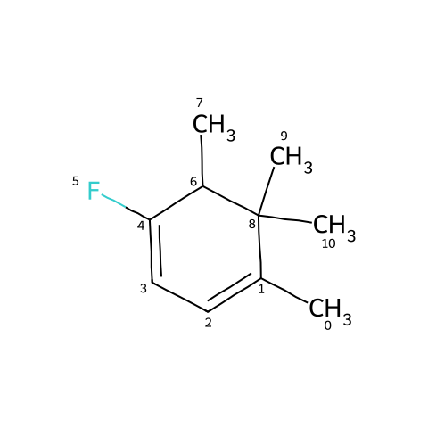 CC1=CC=C(F)C(C)C1(C)C